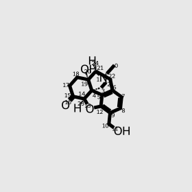 CN1CC[C@]23c4c5ccc(CO)c4O[C@H]2C(=O)CC[C@@]3(O)[C@H]1C5